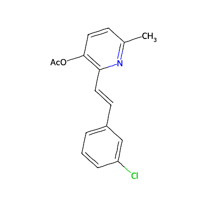 CC(=O)Oc1ccc(C)nc1/C=C/c1cccc(Cl)c1